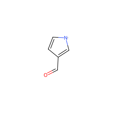 O=CC1=C[N]C=C1